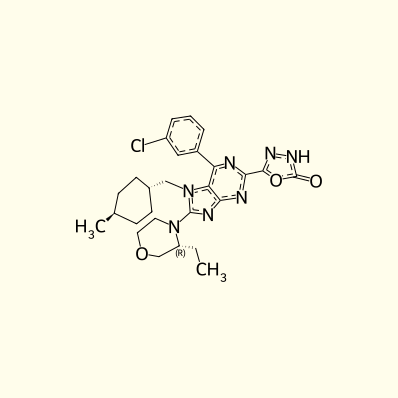 CC[C@@H]1COCCN1c1nc2nc(-c3n[nH]c(=O)o3)nc(-c3cccc(Cl)c3)c2n1C[C@H]1CC[C@H](C)CC1